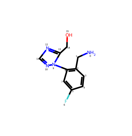 NCc1ccc(F)cc1-n1ncnc1CO